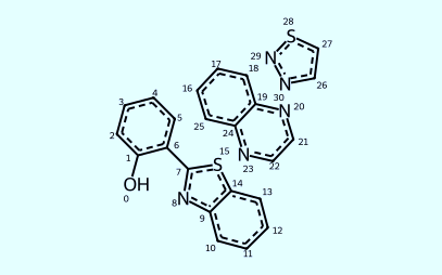 Oc1ccccc1-c1nc2ccccc2s1.c1ccc2nccnc2c1.c1csnn1